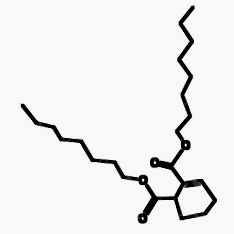 CCCCCCCCOC(=O)C1=CCCCC1C(=O)OCCCCCCCC